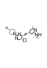 CCNc1cc(C#Cc2nc(N3CCC(C4CC4)CC3)ncc2Cl)cc(C)n1